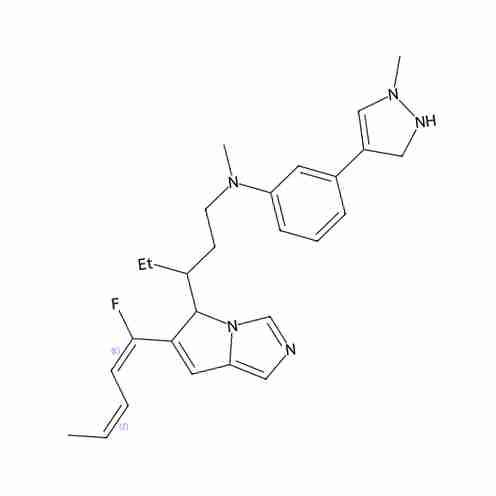 C/C=C\C=C(\F)C1=Cc2cncn2C1C(CC)CCN(C)c1cccc(C2=CN(C)NC2)c1